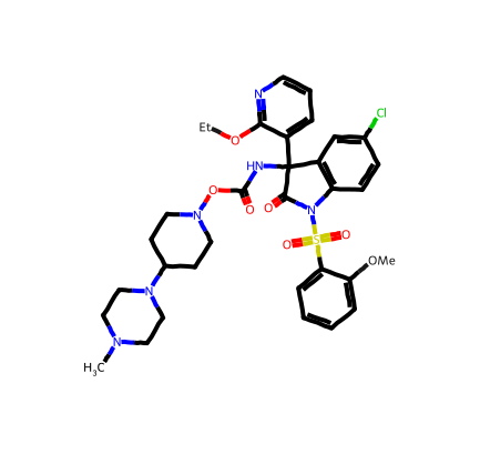 CCOc1ncccc1C1(NC(=O)ON2CCC(N3CCN(C)CC3)CC2)C(=O)N(S(=O)(=O)c2ccccc2OC)c2ccc(Cl)cc21